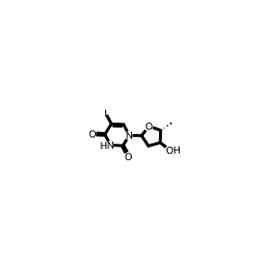 C[C@H]1OC(n2cc(I)c(=O)[nH]c2=O)CC1O